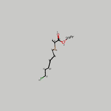 CCCOC(=O)C(C)SCCCCCCF